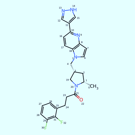 C[C@H]1C[C@@H](Cn2ccc3nc(-c4cn[nH]c4)ccc32)CN1C(=O)CCc1cccc(F)c1F